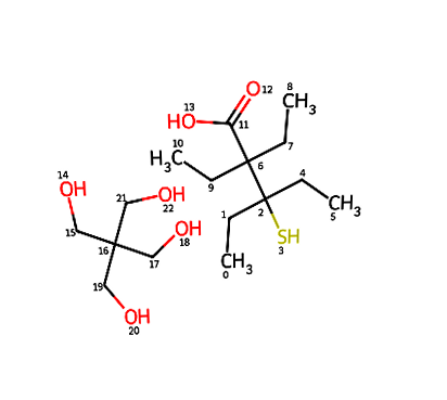 CCC(S)(CC)C(CC)(CC)C(=O)O.OCC(CO)(CO)CO